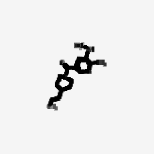 C/C=C/C1CCN(C(=O)c2cnc(C)c(NC)c2)CC1